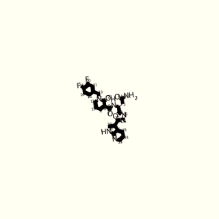 NC(=O)C[C@@H](NC(=O)c1cccn(Cc2ccc(F)c(F)c2)c1=O)c1nnc(-c2c[nH]c3ncccc23)o1